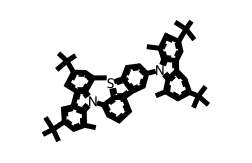 Cc1cc(C(C)(C)C)cc2c3cc(C(C)(C)C)cc(C)c3n(-c3ccc4sc5c(-n6c7c(C)cc(C(C)(C)C)cc7c7cc(C(C)(C)C)cc(C)c76)cccc5c4c3)c12